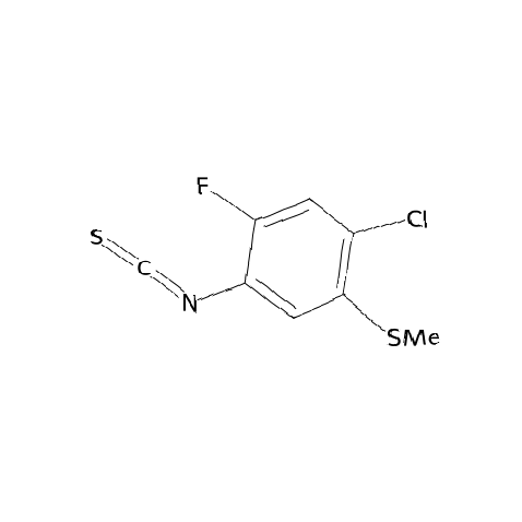 CSc1cc(N=C=S)c(F)cc1Cl